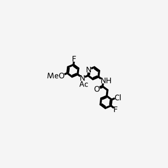 COc1cc(F)cc(N(C(C)=O)c2cc(NC(=O)Cc3cccc(F)c3Cl)ccn2)c1